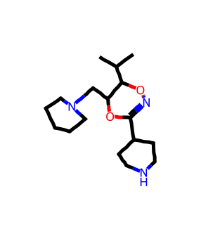 CC(C)C1ON=C(C2CCNCC2)OC1CN1CCCCC1